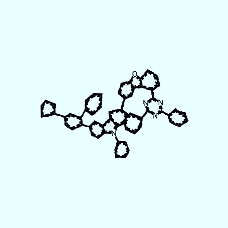 c1ccc(-c2ccc(-c3ccc4c(c3)c3cc(-c5ccc6oc7cccc(-c8nc(-c9ccccc9)nc(-c9ccccc9)n8)c7c6c5)ccc3n4-c3ccccc3)c(-c3ccccc3)c2)cc1